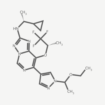 CCOC(C)n1cc(-c2ncn3nc(N[C@H](C)C4CC4)nc3c2O[C@@H](C)C(F)(F)F)cn1